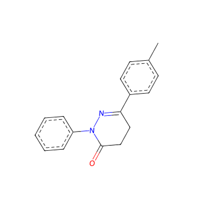 Cc1ccc(C2=NN(c3ccccc3)C(=O)CC2)cc1